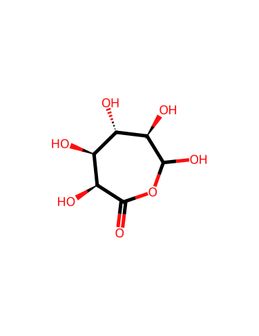 O=C1OC(O)[C@H](O)[C@@H](O)[C@H](O)[C@@H]1O